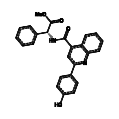 COC(=O)[C@H](NC(=O)c1cc(-c2ccc(O)cc2)nc2ccccc12)c1ccccc1